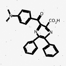 CN(C)c1ccc(C(=O)c2nc(-c3ccccc3)c(-c3ccccc3)nc2C(=O)O)cc1